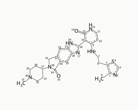 Cc1ncsc1CCNc1cc[nH]c(=O)c1-c1nc2cc3c(cc2[nH]1)CN(C1CCN(C)CC1)C3=O